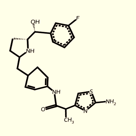 CC(C(=O)NC1=CCC(CC2CC[C@H]([C@H](O)c3cccc(F)c3)N2)C=C1)c1csc(N)n1